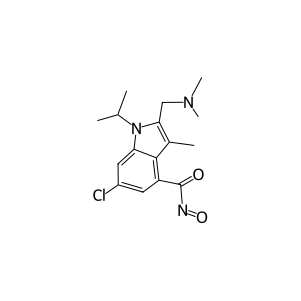 Cc1c(CN(C)C)n(C(C)C)c2cc(Cl)cc(C(=O)N=O)c12